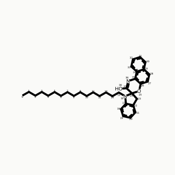 CCCCCCCCCCCCCCCCN1c2ccccc2CC12Oc1ccc3ccccc3c1N=C2O